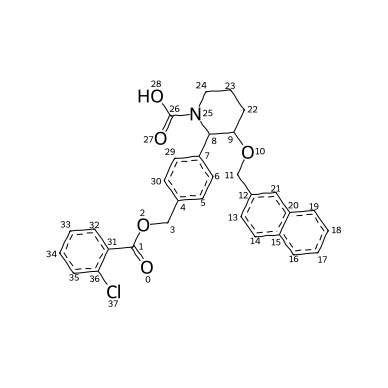 O=C(OCc1ccc(C2C(OCc3ccc4ccccc4c3)CCCN2C(=O)O)cc1)c1ccccc1Cl